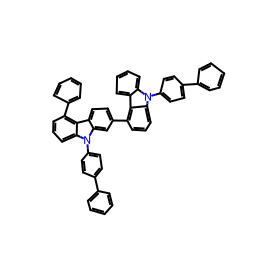 c1ccc(-c2ccc(-n3c4ccccc4c4c(-c5ccc6c7c(-c8ccccc8)cccc7n(-c7ccc(-c8ccccc8)cc7)c6c5)cccc43)cc2)cc1